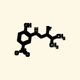 CC(C)C(Br)CNc1cc([N+](=O)[O-])ccc1O